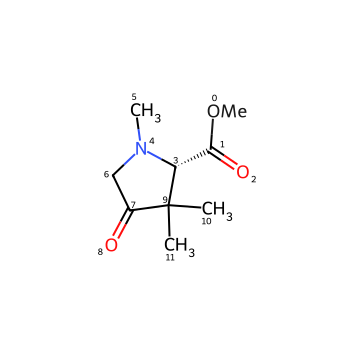 COC(=O)[C@H]1N(C)CC(=O)C1(C)C